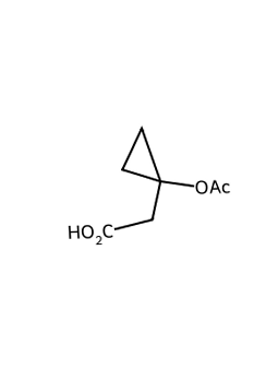 CC(=O)OC1(CC(=O)O)CC1